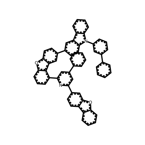 c1ccc(-c2cccc(-n3c4ccccc4c4cc(-c5ccc6oc7cccc(-c8cc(-c9ccccc9)cc(-c9ccc%10c(c9)oc9ccccc9%10)n8)c7c6c5)ccc43)c2)cc1